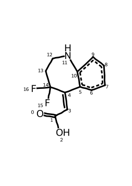 O=C(O)C=C1c2ccccc2NCCC1(F)F